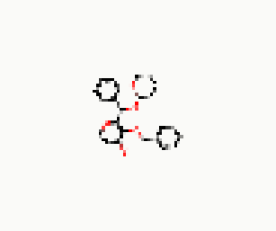 O=c1ccoc(C(OC2CCCCO2)c2ccccc2)c1OCc1ccccc1